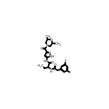 CCC(NC(=O)Cc1cc(F)cc(F)c1)C(=O)Nc1cc(C(=O)N2CC(C)OC(C)C2)n[nH]1